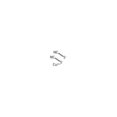 N#C[S-].N#C[S-].[Cu+2]